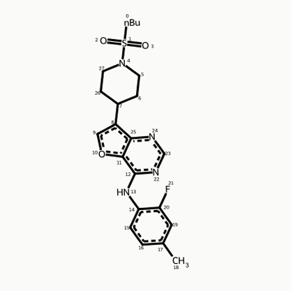 CCCCS(=O)(=O)N1CCC(c2coc3c(Nc4ccc(C)cc4F)ncnc23)CC1